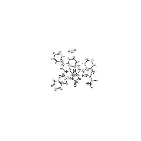 CNC(C)C(=O)N[C@H](C(=O)N1CC(=O)N2[C@@H]1CN(CC(c1ccccc1)c1ccccc1)C(=O)[C@@H]2Cc1ccccc1)C1CCCCC1.Cl